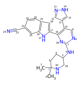 CC1(C)CCC(Nc2ncc(-c3cn[nH]c3)c(-c3cc4ccc(C#N)cc4[nH]3)n2)CN1